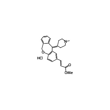 COC(=O)C=Cc1ccc2c(c1)C(=C1CCN(C)CC1)c1ccccc1CO2.Cl